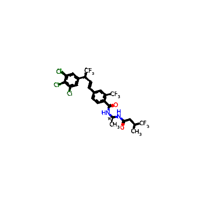 CC(CC(=O)N[C@@H](C)NC(=O)c1ccc(C=CC(c2cc(Cl)c(Cl)c(Cl)c2)C(F)(F)F)cc1C(F)(F)F)C(F)(F)F